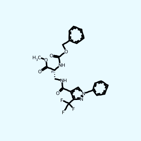 COC(=O)[C@@H](CNC(=O)c1cn(-c2ccccc2)nc1C(F)(F)F)NC(=O)OCc1ccccc1